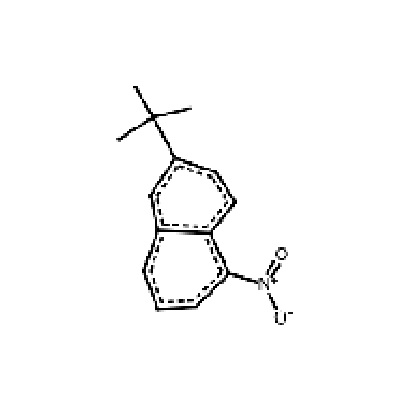 CC(C)(C)c1ccc2c([N+](=O)[O-])cccc2c1